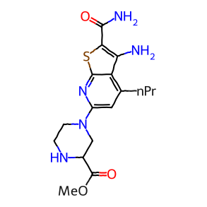 CCCc1cc(N2CCNC(C(=O)OC)C2)nc2sc(C(N)=O)c(N)c12